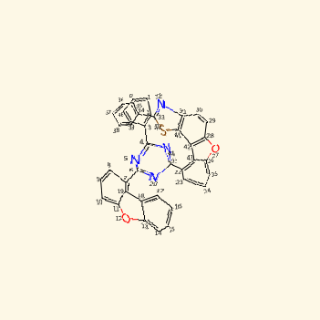 c1ccc(-c2nc(-c3cccc4oc5ccccc5c34)nc(-c3cccc4oc5ccc6nc(-c7ccccc7)sc6c5c34)n2)cc1